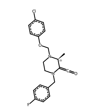 C[C@H]1C(=C=O)N(Cc2ccc(F)cc2)CCN1COc1ccc(Cl)cc1